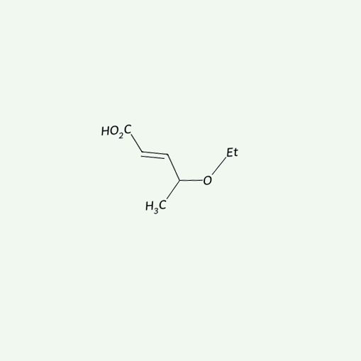 CCOC(C)C=CC(=O)O